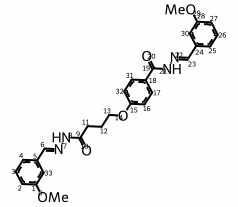 COc1cccc(C=NNC(=O)CCCOc2ccc(C(=O)NN=Cc3cccc(OC)c3)cc2)c1